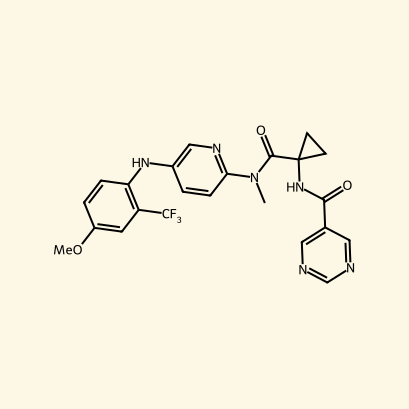 COc1ccc(Nc2ccc(N(C)C(=O)C3(NC(=O)c4cncnc4)CC3)nc2)c(C(F)(F)F)c1